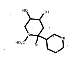 O=C(O)N1CC(O)C(O)CC1(Br)C1CCCNC1